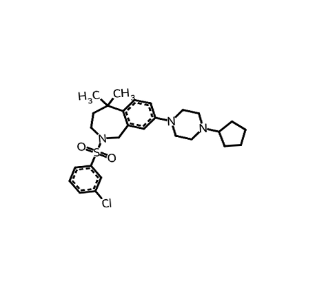 CC1(C)CCN(S(=O)(=O)c2cccc(Cl)c2)Cc2cc(N3CCN(C4CCCC4)CC3)ccc21